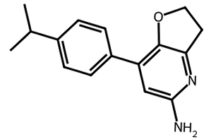 CC(C)c1ccc(-c2cc(N)nc3c2OCC3)cc1